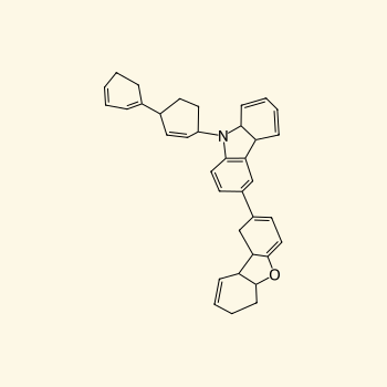 C1=CCCC(C2C=CC(N3c4ccc(C5=CC=C6OC7CCC=CC7C6C5)cc4C4C=CC=CC43)CC2)=C1